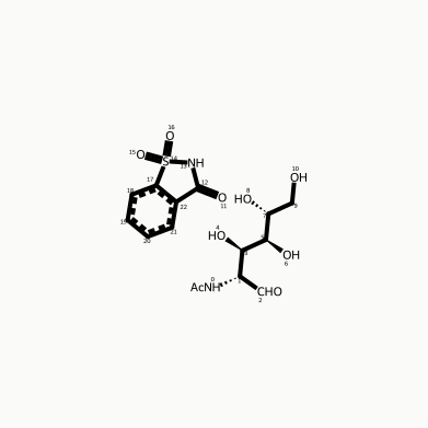 CC(=O)N[C@@H](C=O)[C@@H](O)[C@H](O)[C@H](O)CO.O=C1NS(=O)(=O)c2ccccc21